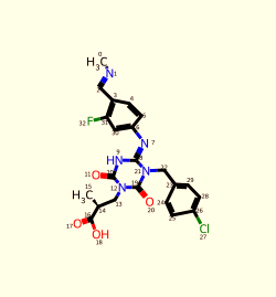 C/N=C/c1ccc(/N=c2\[nH]c(=O)n(C[C@H](C)C(=O)O)c(=O)n2Cc2ccc(Cl)cc2)cc1F